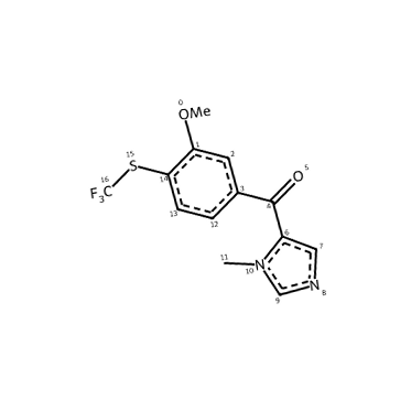 COc1cc(C(=O)c2cncn2C)ccc1SC(F)(F)F